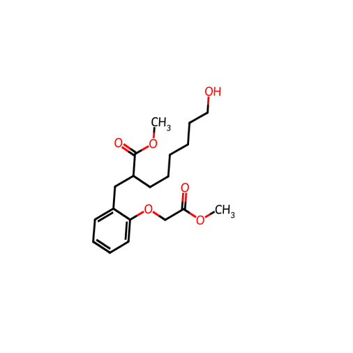 COC(=O)COc1ccccc1CC(CCCCCCO)C(=O)OC